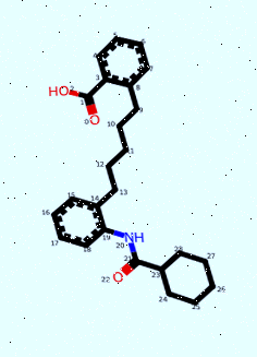 O=C(O)c1ccccc1CCCCCc1ccccc1NC(=O)C1CCCCC1